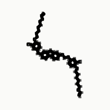 C=COCCCCCCOc1ccc(Cc2ccc3c(c2)Cc2cc(OCOc4ccc(OCCCCCCOC=C)c(Cl)c4)ccc2-3)cc1Cl